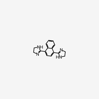 c1ccc2c(C3=NCCN3)ccc(C3=NCCN3)c2c1